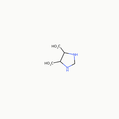 O=C(O)C1NCNC1C(=O)O